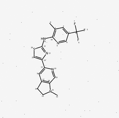 Cc1cc(C(F)(F)F)cnc1Nc1nc(-c2cc3c(cn2)N(C)CC3)cs1